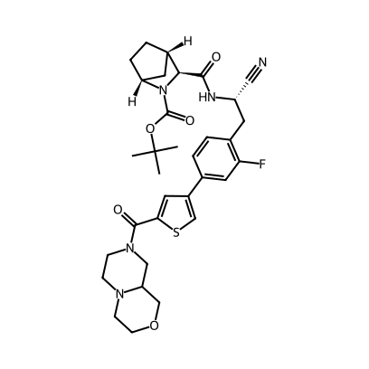 CC(C)(C)OC(=O)N1[C@@H]2CC[C@@H](C2)[C@H]1C(=O)N[C@H](C#N)Cc1ccc(-c2csc(C(=O)N3CCN4CCOCC4C3)c2)cc1F